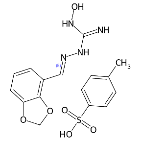 Cc1ccc(S(=O)(=O)O)cc1.N=C(NO)N/N=C/c1cccc2c1OCO2